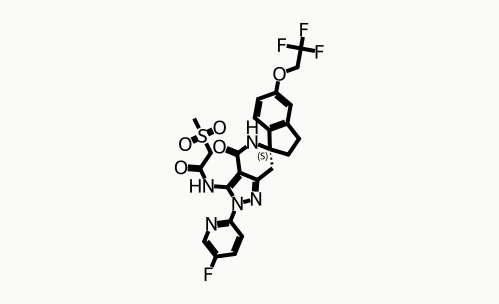 CS(=O)(=O)CC(=O)Nc1c2c(nn1-c1ccc(F)cn1)C[C@]1(CCc3cc(OCC(F)(F)F)ccc31)NC2=O